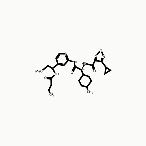 COCC(NC(=O)CCC(F)(F)F)c1ccnc(NC(=O)[C@@H](NC(=O)c2nonc2C2CC2)C2CCC(C)CC2)c1